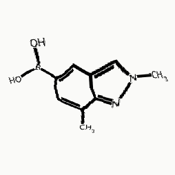 Cc1cc(B(O)O)cc2cn(C)nc12